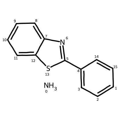 N.c1ccc(-c2nc3ccccc3s2)cc1